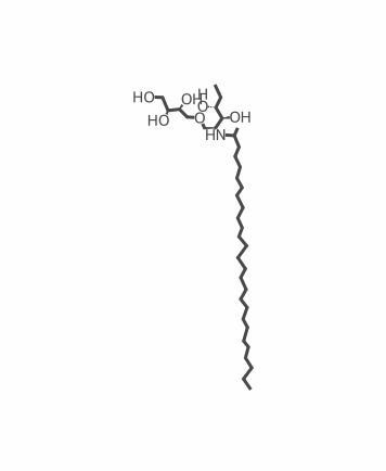 CCCCCCCCCCCCCCCCCCCCCCCCCC(C)N[C@@H](COC[C@H](O)[C@@H](O)CO)[C@H](O)[C@H](O)CC